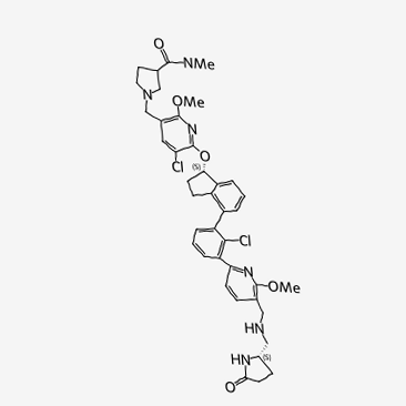 CNC(=O)C1CCN(Cc2cc(Cl)c(O[C@H]3CCc4c(-c5cccc(-c6ccc(CNC[C@@H]7CCC(=O)N7)c(OC)n6)c5Cl)cccc43)nc2OC)C1